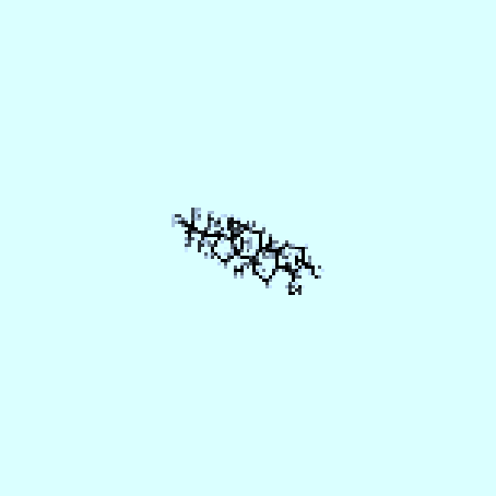 C[C@]12CCC(=O)C(Br)=C1CC[C@@H]1[C@@H]2CC[C@@]2(C)[C@H]1CC[C@@]2(O)C(F)(F)C(F)(F)F